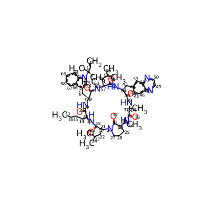 C=CC(C)(C)n1cc(C[C@@H]2NC(=O)[C@H](CCCC)NC(=O)[C@H](CC(C)C)N3CCC[C@@H](C3=O)N(C)C(=O)[C@H](C)NC(=O)[C@H](Cc3ccc4nccnc4c3)NC(=O)[C@H](CC(C)C)N(C)C2=O)c2ccccc21